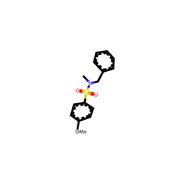 COc1ccc(S(=O)(=O)N(C)Cc2ccccc2)cc1